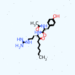 [CH2]CCCCCC(=O)[C@H](CCCNC(=N)N)NC(=O)[C@H](Cc1ccc(O)cc1)NC(C)=O